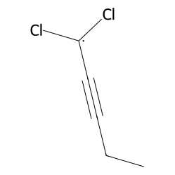 CCC#C[C](Cl)Cl